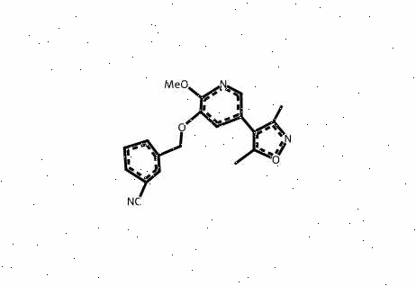 COc1ncc(-c2c(C)noc2C)cc1OCc1cccc(C#N)c1